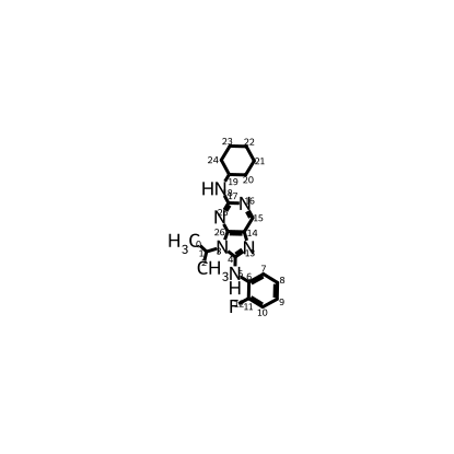 CC(C)n1c(Nc2ccccc2F)nc2cnc(NC3CCCCC3)nc21